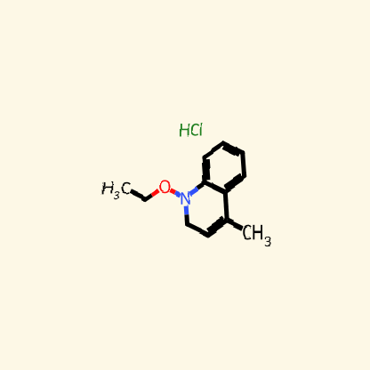 CCON1CC=C(C)c2ccccc21.Cl